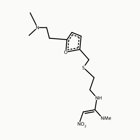 CNC(=C[N+](=O)[O-])NCCSCc1ccc(CCN(C)C)o1